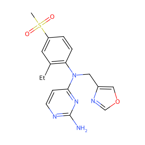 CCc1cc(S(C)(=O)=O)ccc1N(Cc1cocn1)c1ccnc(N)n1